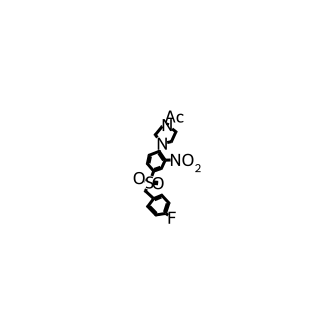 CC(=O)N1CCN(c2ccc(S(=O)(=O)Cc3ccc(F)cc3)cc2[N+](=O)[O-])CC1